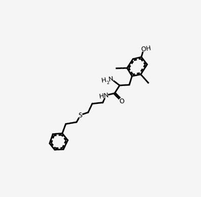 Cc1cc(O)cc(C)c1CC(N)C(=O)NCCCSCCc1ccccc1